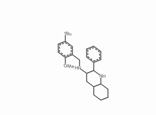 COc1ccc(C(C)(C)C)cc1CNC1CC2CCCCC2NC1c1ccccc1